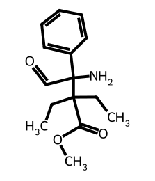 CCC(CC)(C(=O)OC)C(N)(C=O)c1ccccc1